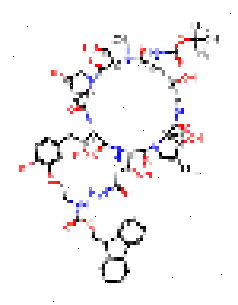 C[C@@H](O)[C@@H]1NC(=O)[C@@H](NC(=O)OC(C)(C)C)C[C@@H](O)CNC(=O)[C@@H]2[C@@H](O)[C@@H](C)CN2C(=O)[C@H]([C@H](O)CC(N)=O)NC(=O)[C@H]([C@H](O)Cc2ccc(O)c(OCCNC(=O)OCC3c4ccccc4-c4ccccc43)c2)NC(=O)[C@@H]2C[C@@H](O)CN2C1=O